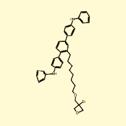 CCC1(COCCCCCCCCc2cc(-c3ccc(Nc4ccccc4)cc3)ccc2-c2ccc(Nc3ccccc3)cc2)COC1